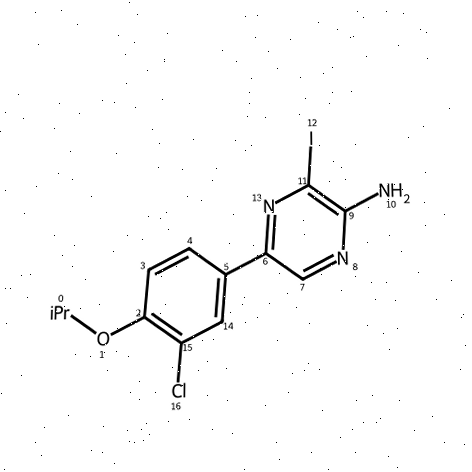 CC(C)Oc1ccc(-c2cnc(N)c(I)n2)cc1Cl